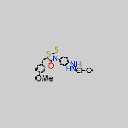 COc1ccc(C=C2SC(=S)N(c3ccc(NNC=O)cc3)C2=O)cc1